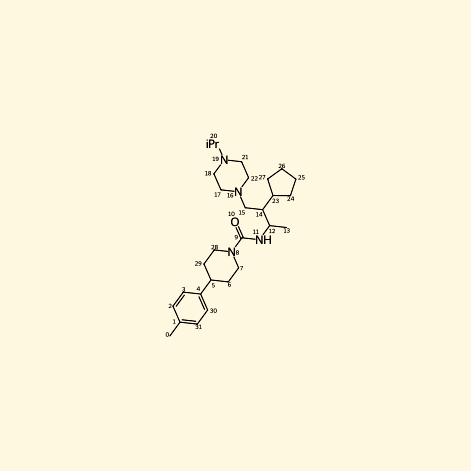 Cc1ccc(C2CCN(C(=O)NC(C)C(CN3CCN(C(C)C)CC3)C3CCCC3)CC2)cc1